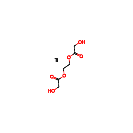 O=C(CO)OCCOC(=O)CO.[Ti]